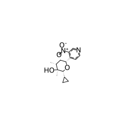 C[C@@H]1C[C@H](c2ccncc2[N+](=O)[O-])O[C@H](C2CC2)[C@@]1(C)O